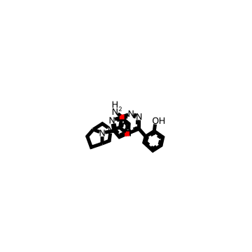 Nc1nnc(-c2ccccc2O)cc1N1CC2CCC(C1)N2c1cnccn1